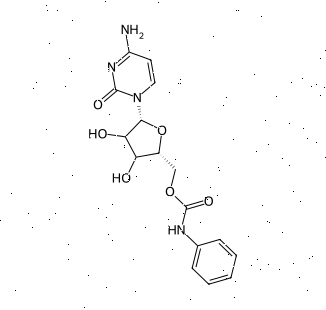 Nc1ccn([C@@H]2O[C@H](COC(=O)Nc3ccccc3)C(O)C2O)c(=O)n1